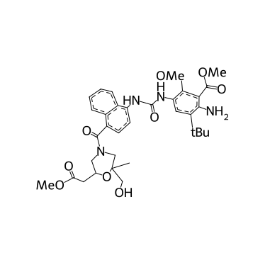 COC(=O)CC1CN(C(=O)c2ccc(NC(=O)Nc3cc(C(C)(C)C)c(N)c(C(=O)OC)c3OC)c3ccccc23)CC(C)(CO)O1